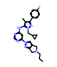 CCCN1Cc2cn(-c3cc(Nc4c(C)c(-c5ccc(F)cc5)nn4CC4CC4)ncn3)nc2C1